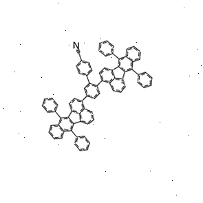 N#Cc1ccc(-c2cc(-c3ccc4c5c(cccc35)-c3c-4c(-c4ccccc4)c4ccccc4c3-c3ccccc3)ccc2-c2ccc3c4c(cccc24)-c2c-3c(-c3ccccc3)c3ccccc3c2-c2ccccc2)cc1